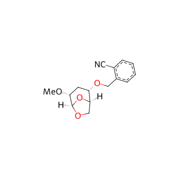 CO[C@@H]1C[C@H](OCc2ccccc2C#N)[C@H]2CO[C@@H]1O2